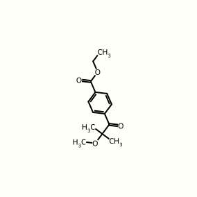 CCOC(=O)c1ccc(C(=O)C(C)(C)OC)cc1